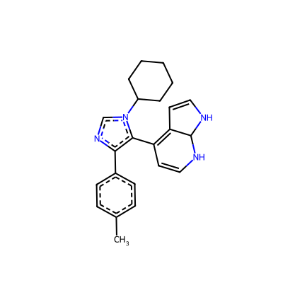 Cc1ccc(-c2ncn(C3CCCCC3)c2C2=C3C=CNC3NC=C2)cc1